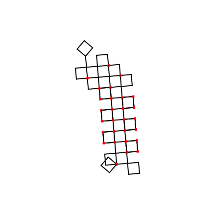 C1C[C](C2(C3(C4(C5(C6(C7(C8(C9(C%10(C%11(C%12(C%13(C%14(C%15(C%16(C%17(C%18(C%19(C%20(C%21CCC%21)CCC%20)CCC%19)CCC%18)CCC%17)CCC%16)CCC%15)CCC%14)CCC%13)CCC%12)CCC%11)CCC%10)CCC9)CCC8)CCC7)CCC6)CCC5)CCC4)CCC3)CCC2)C1